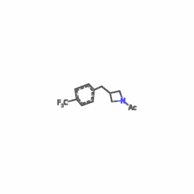 CC(=O)N1CC(Cc2ccc(C(F)(F)F)cc2)C1